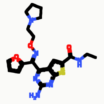 CCNC(=O)c1cc2c(C(=NOCCN3CCCC3)c3ccco3)nc(N)nc2s1